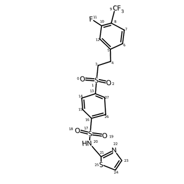 O=S(=O)(CCc1ccc(C(F)(F)F)c(F)c1)c1ccc(S(=O)(=O)Nc2nccs2)cc1